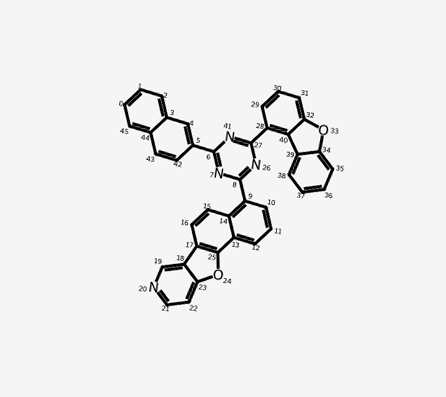 c1ccc2cc(-c3nc(-c4cccc5c4ccc4c6cnccc6oc54)nc(-c4cccc5oc6ccccc6c45)n3)ccc2c1